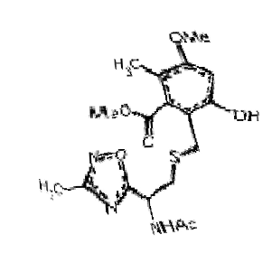 COC(=O)c1c(C)c(OC)cc(O)c1CSCC(NC(C)=O)c1nc(C)no1